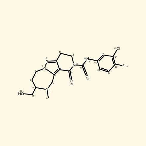 CN1Cc2c3c(nn2CCC1CO)CCN(C(=O)Nc1ccc(F)c(Cl)c1)C3=O